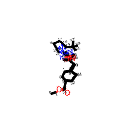 CCOC(=O)C1CCC(=Cc2cnc(N3C4CCC3C(C(C)(C)C)N(C(=O)O)C4)nc2)CC1